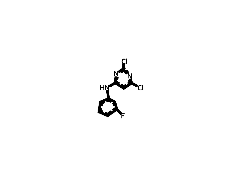 Fc1cccc(Nc2cc(Cl)nc(Cl)n2)c1